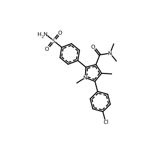 Cc1c(C(=O)N(C)C)c(-c2ccc(S(N)(=O)=O)cc2)n(C)c1-c1ccc(Cl)cc1